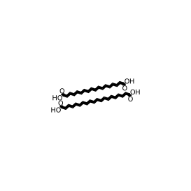 O=C(O)CCCCCCCCCCCCCCCCC(=O)O.O=C(O)CCCCCCCCCCCCCCCCCCC(=O)O